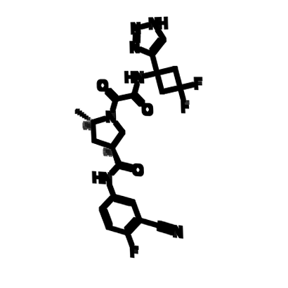 C[C@H]1C[C@H](C(=O)Nc2ccc(F)c(C#N)c2)CN1C(=O)C(=O)NC1(c2c[nH]nn2)CC(F)(F)C1